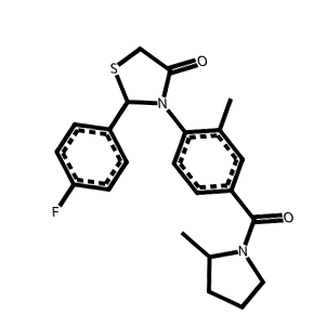 Cc1cc(C(=O)N2CCCC2C)ccc1N1C(=O)CSC1c1ccc(F)cc1